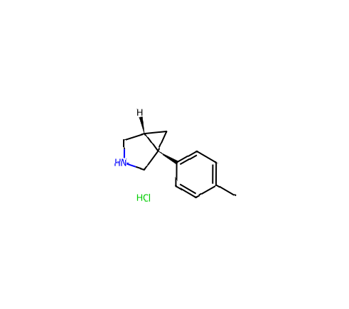 Cc1ccc([C@@]23CNC[C@@H]2C3)cc1.Cl